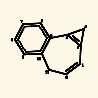 C1=CC2=C(C2)c2ccccc2C1